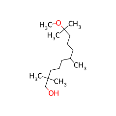 COC(C)(C)CCCC(C)CCCC(C)(C)CO